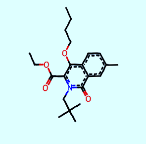 CCCCOc1c(C(=O)OCC)n(CC(C)(C)C)c(=O)c2cc(C)ccc12